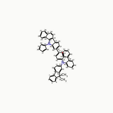 CC1(C)c2ccccc2-c2ccc(N(c3ccc(-c4ccc5c6ccc7ccccc7c6n(-c6ccccc6)c5c4)cc3)c3ccccc3-c3ccccc3)cc21